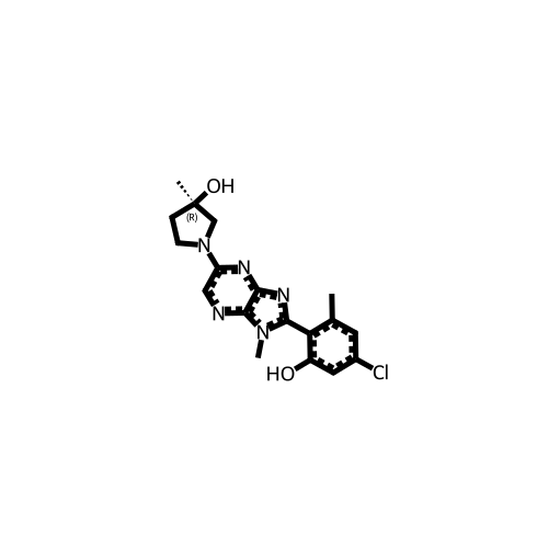 Cc1cc(Cl)cc(O)c1-c1nc2nc(N3CC[C@@](C)(O)C3)cnc2n1C